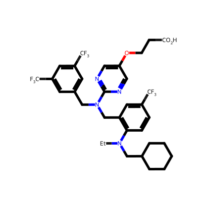 CCN(CC1CCCCC1)c1ccc(C(F)(F)F)cc1CN(Cc1cc(C(F)(F)F)cc(C(F)(F)F)c1)c1ncc(OCCC(=O)O)cn1